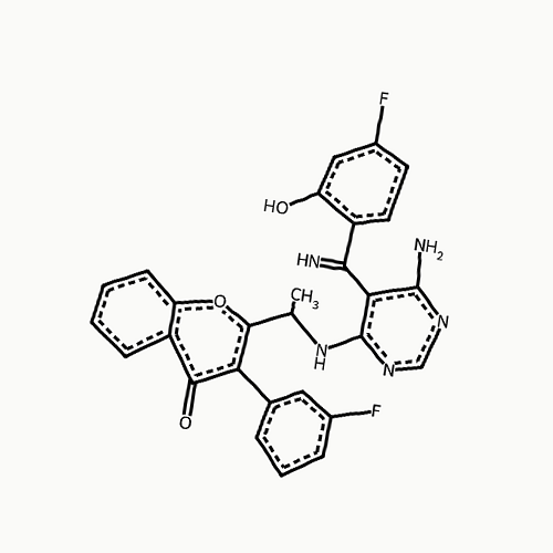 CC(Nc1ncnc(N)c1C(=N)c1ccc(F)cc1O)c1oc2ccccc2c(=O)c1-c1cccc(F)c1